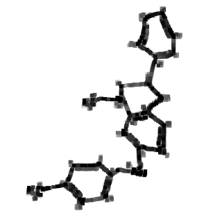 Cc1ccc(Nc2ncc3c(n2)N(C)CN(c2ccccc2)C3)cn1